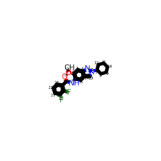 COc1cc2nn(C3CCCCC3)cc2cc1NC(=O)c1cccc(F)c1F